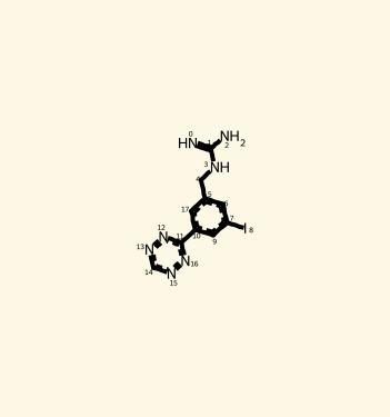 N=C(N)NCc1cc(I)cc(-c2nncnn2)c1